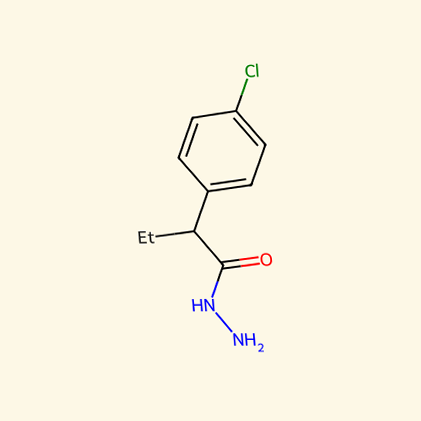 CCC(C(=O)NN)c1ccc(Cl)cc1